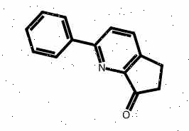 O=C1CCc2ccc(-c3ccccc3)nc21